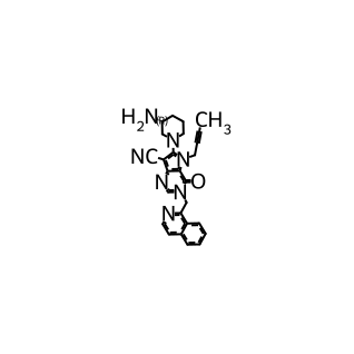 CC#CCn1c(N2CCC[C@@H](N)C2)c(C#N)c2ncn(Cc3nccc4ccccc34)c(=O)c21